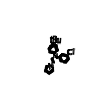 CC(C)(C)c1ccc(N(CCN2CCCC2)c2cccc(Cl)c2)cc1